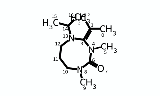 CC(C)=C1N(C)C(=O)N(C)CCCN1C(C)C